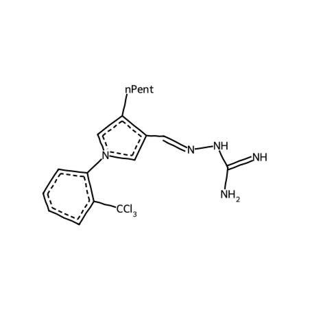 CCCCCc1cn(-c2ccccc2C(Cl)(Cl)Cl)cc1C=NNC(=N)N